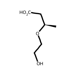 C[C@H](CC(=O)O)OCCO